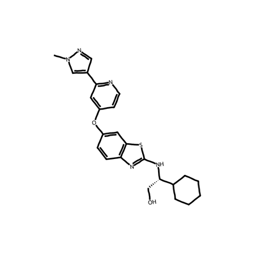 Cn1cc(-c2cc(Oc3ccc4nc(N[C@@H](CO)C5CCCCC5)sc4c3)ccn2)cn1